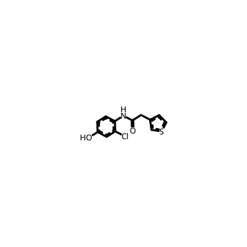 O=C(Cc1ccsc1)Nc1ccc(O)cc1Cl